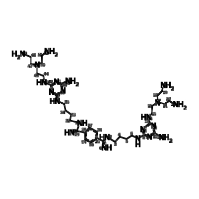 N=C(NCCCCNc1nc(N)nc(NCCN(CCN)CCN)n1)c1ccc(C(=N)NCCCCNc2nc(N)nc(NCCN(CCN)CCN)n2)cc1